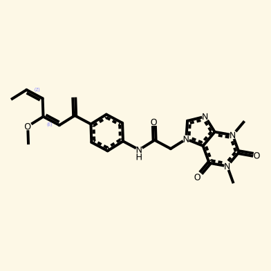 C=C(/C=C(\C=C/C)OC)c1ccc(NC(=O)Cn2cnc3c2c(=O)n(C)c(=O)n3C)cc1